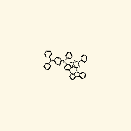 Cc1nc(-c2ccccc2)nc(-n2c3ccccc3c3cccc(-c4ccc(N(c5ccccc5)c5ccc(N(c6ccccc6)c6ccccc6)cc5)cc4)c32)n1